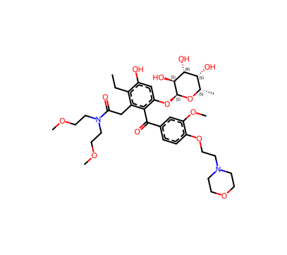 CCc1c(O)cc(O[C@@H]2O[C@@H](C)[C@@H](O)[C@@H](O)[C@@H]2O)c(C(=O)c2ccc(OCCN3CCOCC3)c(OC)c2)c1CC(=O)N(CCOC)CCOC